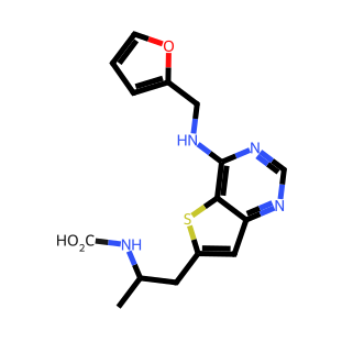 CC(Cc1cc2ncnc(NCc3ccco3)c2s1)NC(=O)O